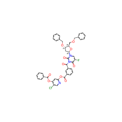 O=C(Oc1cc(OC(=O)c2ccccc2)c(Cl)cn1)c1cccc(C(=O)n2c(=O)c(F)cn([C@H]3C[C@H](OCc4ccccc4)[C@@H](COCc4ccccc4)O3)c2=O)c1